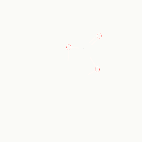 CCC1OC(=O)OC1C